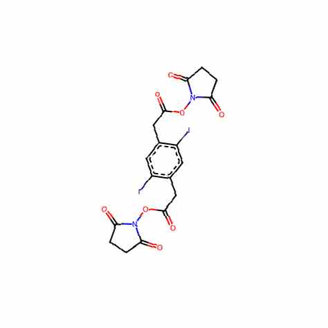 O=C(Cc1cc(I)c(CC(=O)ON2C(=O)CCC2=O)cc1I)ON1C(=O)CCC1=O